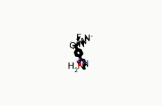 C/C=C(\C=N/C(C)N)c1ccc([C@@H](OC)[C@@H](CF)N=[N+]=[N-])cc1